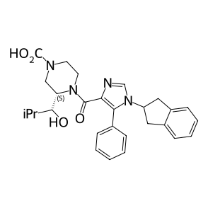 CC(C)C(O)[C@@H]1CN(C(=O)O)CCN1C(=O)c1ncn(C2Cc3ccccc3C2)c1-c1ccccc1